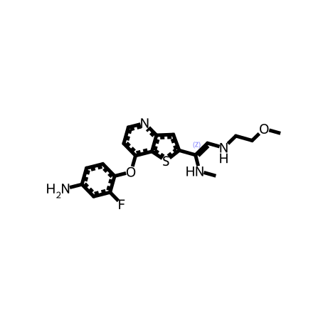 CN/C(=C\NCCOC)c1cc2nccc(Oc3ccc(N)cc3F)c2s1